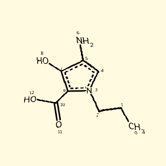 CCCn1cc(N)c(O)c1C(=O)O